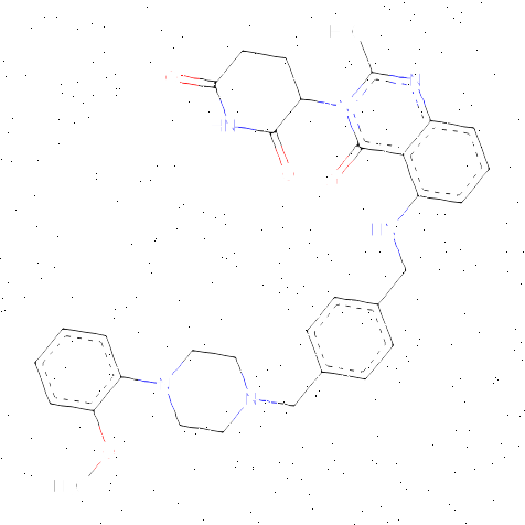 COc1ccccc1N1CCN(Cc2ccc(CNc3cccc4nc(C)n(C5CCC(=O)NC5=O)c(=O)c34)cc2)CC1